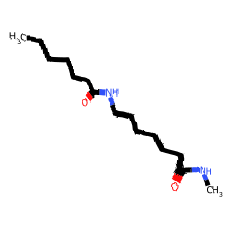 CCCCCCC(=O)NCCCCCCC(=O)NC